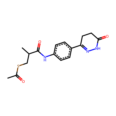 CC(=O)SCC(C)C(=O)Nc1ccc(C2=NNC(=O)CC2)cc1